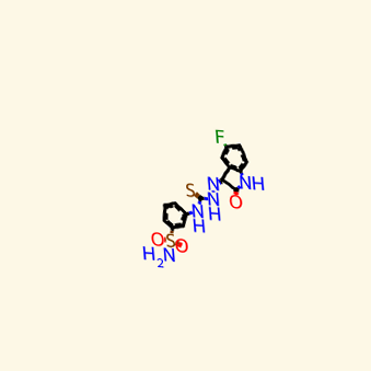 NS(=O)(=O)c1cccc(NC(=S)NN=C2C(=O)Nc3ccc(F)cc32)c1